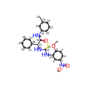 COc1ccc([N+](=O)[O-])cc1NC(=S)NC(C(=O)Nc1cccc(C)c1)c1ccccc1